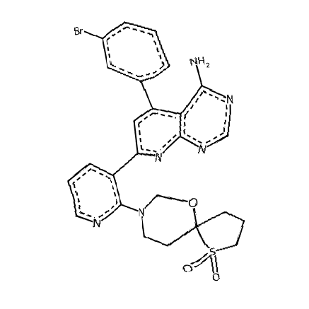 Nc1ncnc2nc(-c3cccnc3N3CCC4(CCCS4(=O)=O)OC3)cc(-c3cccc(Br)c3)c12